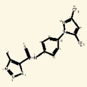 Cc1nnsc1C(=S)Nc1ccc(-n2nc(C(F)(F)F)cc2C(F)(F)F)cc1